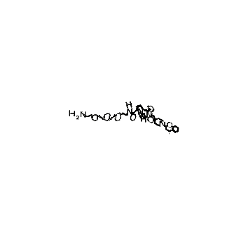 C[C@H](CC(=O)N1CCC(O)(Cn2cnn3c(C(=O)NCCOCCOCCOCCN)ccc3c2=O)CC1)c1ccccc1